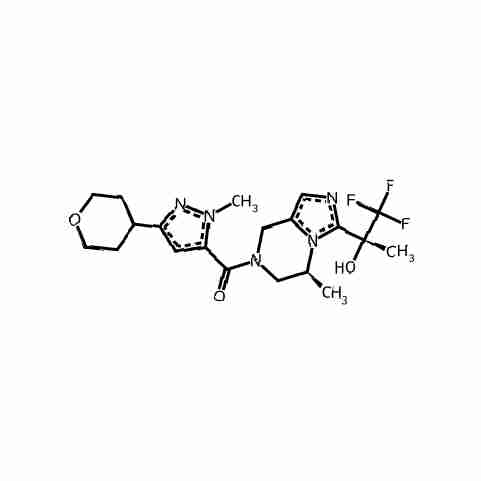 C[C@H]1CN(C(=O)c2cc(C3CCOCC3)nn2C)Cc2cnc([C@@](C)(O)C(F)(F)F)n21